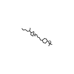 CCCCC(C)C1CCN(CCCCC2CCC(OC(C)C)CC2)C1